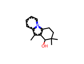 Cc1c2c(n3ccccc13)CCC(C)(C)C2O